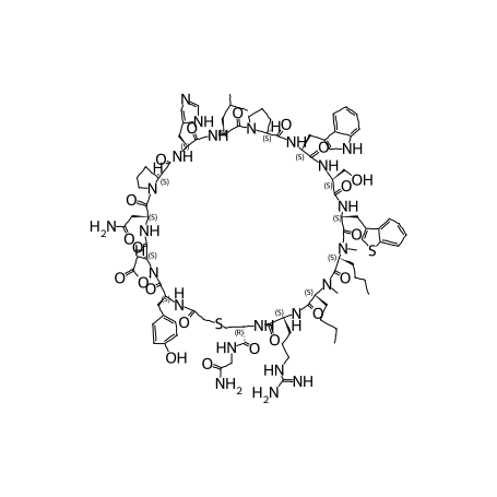 CCCC[C@H]1C(=O)N(C)[C@@H](CCCC)C(=O)N[C@@H](CCCNC(=N)N)C(=O)N[C@H](C(=O)NCC(N)=O)CSCC(=O)N[C@@H](Cc2ccc(O)cc2)C(=O)N2OC(=O)C[C@H]2C(=O)N[C@@H](CC(N)=O)C(=O)N2CCC[C@H]2C(=O)N[C@@H](Cc2cnc[nH]2)C(=O)N[C@@H](CC(C)C)C(=O)N2CCC[C@H]2C(=O)N[C@@H](Cc2c[nH]c3ccccc23)C(=O)N[C@@H](CO)C(=O)N[C@@H](Cc2csc3ccccc23)C(=O)N1C